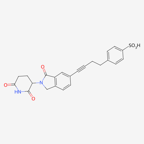 O=C1CCC(N2Cc3ccc(C#CCCc4ccc(S(=O)(=O)O)cc4)cc3C2=O)C(=O)N1